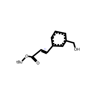 CC(C)(C)OC(=O)/C=C/c1cccc(CO)c1